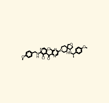 COc1ccc(CNc2nccc(C(=O)c3ncc(N4CCC5(CC4)COC[C@H]5N[C@H](C)c4ccc(OC)cc4)nc3Cl)c2Cl)cc1